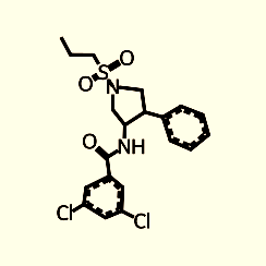 CCCS(=O)(=O)N1CC(NC(=O)c2cc(Cl)cc(Cl)c2)C(c2ccccc2)C1